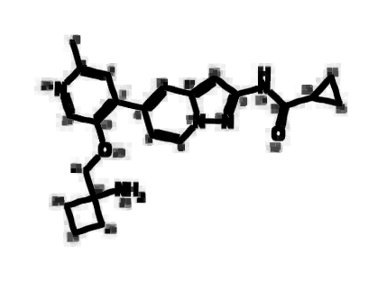 Cc1cc(-c2ccn3nc(NC(=O)C4CC4)cc3c2)c(OCC2(N)CCC2)cn1